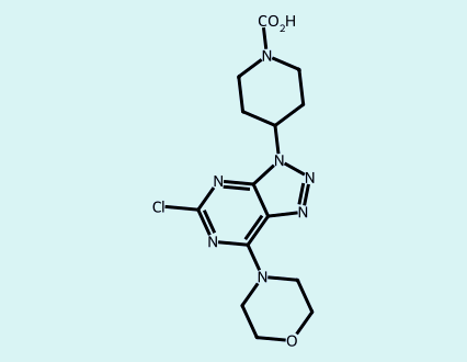 O=C(O)N1CCC(n2nnc3c(N4CCOCC4)nc(Cl)nc32)CC1